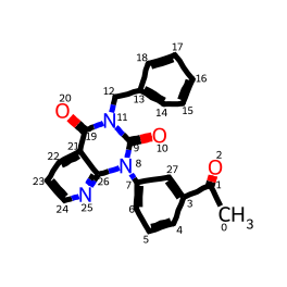 CC(=O)c1cccc(-n2c(=O)n(Cc3ccccc3)c(=O)c3cccnc32)c1